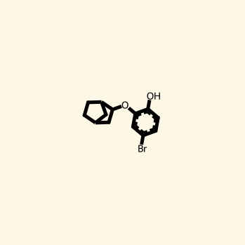 Oc1ccc(Br)cc1OC1CC2CCC1C2